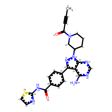 CC#CC(=O)N1CCCC(n2nc(-c3ccc(C(=O)Nc4nccs4)cc3)c3c(N)ncnc32)C1